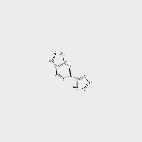 c1ncc(-c2ccc3cnoc3c2)[nH]1